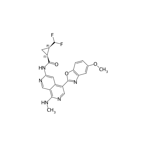 CNc1ncc(-c2nc3cc(OC)ccc3o2)c2cc(NC(=O)[C@H]3C[C@H]3C(F)F)ncc12